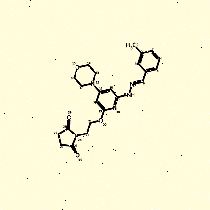 Cc1cccc(C=NNc2cc(N3CCOCC3)cc(OCCN3C(=O)CCC3=O)n2)c1